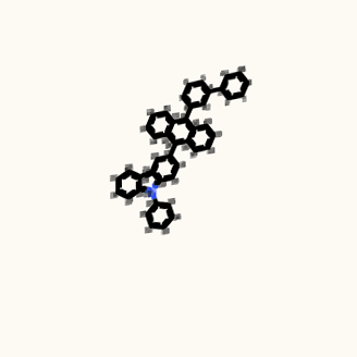 c1ccc(-c2cccc(-c3c4ccccc4c(-c4ccc5c(c4)c4ccccc4n5-c4ccccc4)c4ccccc34)c2)cc1